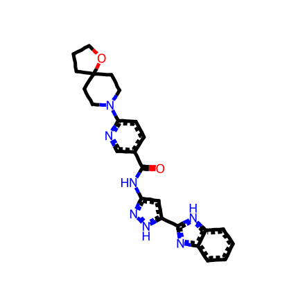 O=C(Nc1cc(-c2nc3ccccc3[nH]2)[nH]n1)c1ccc(N2CCC3(CCCO3)CC2)nc1